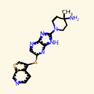 CC1(N)CCN(c2nc3ncc(Sc4csc5cnccc45)nc3[nH]2)CC1